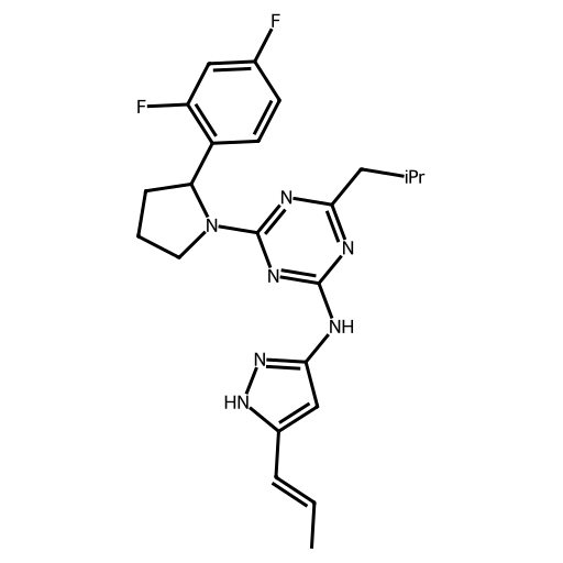 C/C=C/c1cc(Nc2nc(CC(C)C)nc(N3CCCC3c3ccc(F)cc3F)n2)n[nH]1